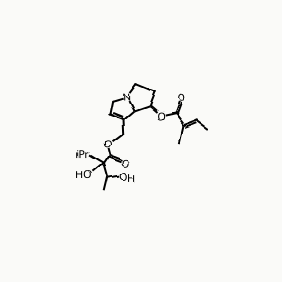 C/C=C(\C)C(=O)OC1CCN2CC=C(COC(=O)C(O)(C(C)C)C(C)O)C12